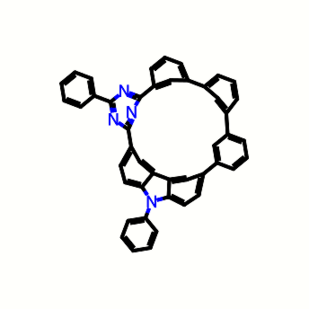 c1ccc(-c2nc3nc(n2)c2ccc4c(c2)c2cc(ccc2n4-c2ccccc2)c2cccc(c2)c2cccc(c2)c2cccc3c2)cc1